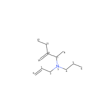 C=CCN(CCC)C(C)C(=C)CC